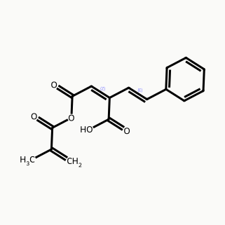 C=C(C)C(=O)OC(=O)/C=C(/C=C/c1ccccc1)C(=O)O